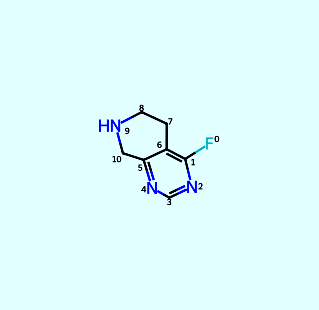 Fc1ncnc2c1CCNC2